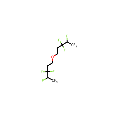 FC(C(F)(F)F)C(F)(F)CCOCCC(F)(F)C(F)C(F)(F)F